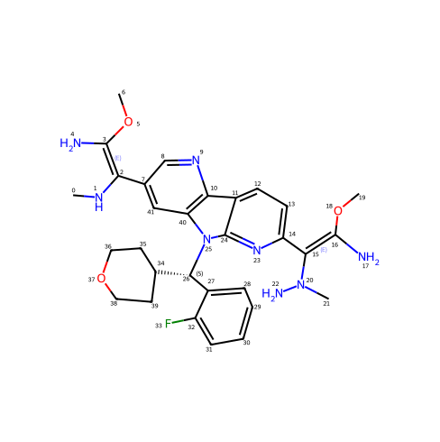 CN/C(=C(\N)OC)c1cnc2c3ccc(/C(=C(/N)OC)N(C)N)nc3n([C@H](c3ccccc3F)C3CCOCC3)c2c1